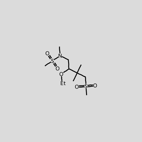 CCOC(CN(C)S(C)(=O)=O)C(C)(C)CS(C)(=O)=O